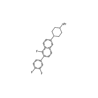 CCCC1CCC(c2ccc3c(F)c(-c4ccc(F)c(F)c4)ccc3c2)CC1